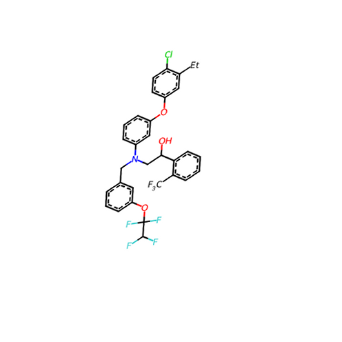 CCc1cc(Oc2cccc(N(Cc3cccc(OC(F)(F)C(F)F)c3)CC(O)c3ccccc3C(F)(F)F)c2)ccc1Cl